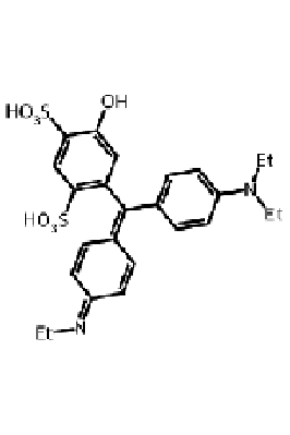 CCN=C1C=CC(=C(c2ccc(N(CC)CC)cc2)c2cc(O)c(S(=O)(=O)O)cc2S(=O)(=O)O)C=C1